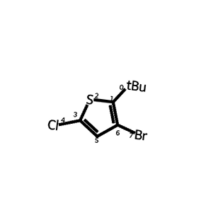 CC(C)(C)c1sc(Cl)cc1Br